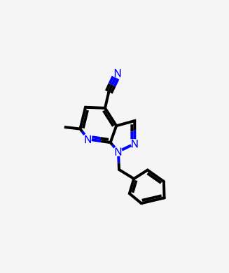 Cc1cc(C#N)c2cnn(Cc3ccccc3)c2n1